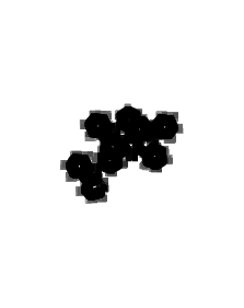 c1ccc(-n2c3ccccc3c3ccccc32)c(-c2nc(-c3ccc(-n4c5ccccc5c5cccnc54)cc3)nc(-c3ccccc3-n3c4ccccc4c4ccccc43)n2)c1